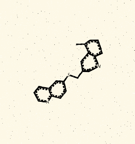 Cc1cccc2ncc(CSc3ccc4ncccc4c3)cc12